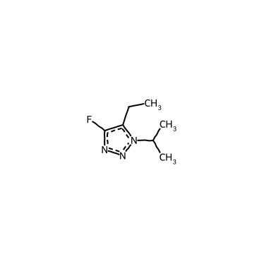 CCc1c(F)nnn1C(C)C